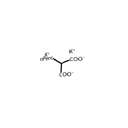 CCCCCC(C(=O)[O-])C(=O)[O-].[K+].[K+]